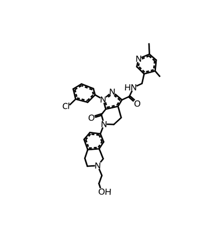 Cc1cc(C)c(CNC(=O)c2nn(-c3cccc(Cl)c3)c3c2CCN(c2ccc4c(c2)CN(CCO)CC4)C3=O)cn1